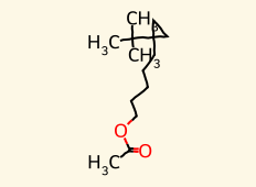 CC(=O)OCCCCCC1(C(C)(C)C)CC1